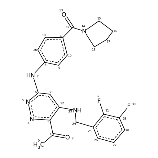 CC(=O)c1nnc(Nc2ccc(C(=O)N3CCCC3)cc2)cc1NCc1cccc(F)c1F